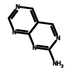 Nc1ncc2cncnc2n1